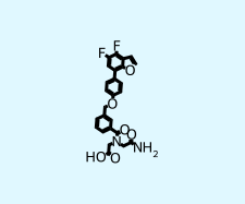 NC(=O)CN(CC(=O)O)C(=O)c1cccc(COc2ccc(-c3cc(F)c(F)c4ccoc34)cc2)c1